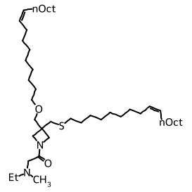 CCCCCCCC/C=C\CCCCCCCCOCC1(CSCCCCCCCC/C=C\CCCCCCCC)CN(C(=O)CN(C)CC)C1